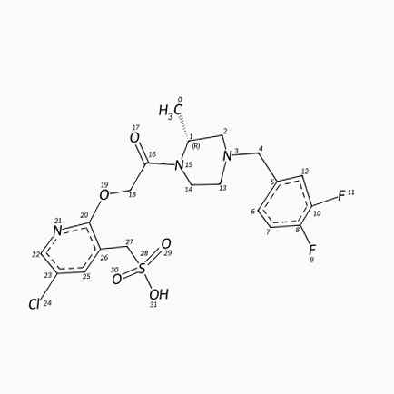 C[C@@H]1CN(Cc2ccc(F)c(F)c2)CCN1C(=O)COc1ncc(Cl)cc1CS(=O)(=O)O